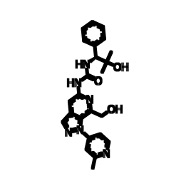 Cc1cc(-n2ncc3cc(NC(=O)N[C@@H](c4ccccc4)C(C)(C)O)nc(CO)c32)ccn1